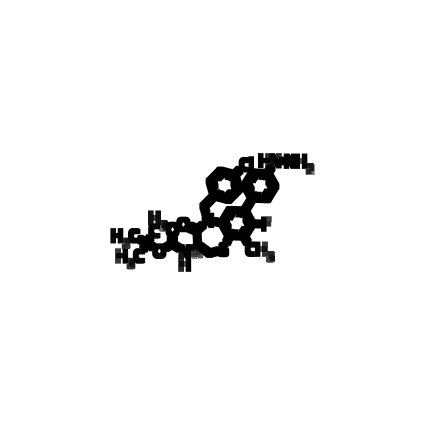 Cc1c(F)c(-c2ccc(NN)cc2)cc2c1SC[C@H](NC(=O)OC(C)(C)C)C(=O)N2Cc1ccc(Cl)cc1